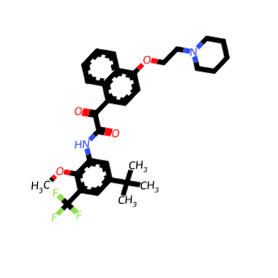 COc1c(NC(=O)C(=O)c2ccc(OCCN3CCCCC3)c3ccccc23)cc(C(C)(C)C)cc1C(F)(F)F